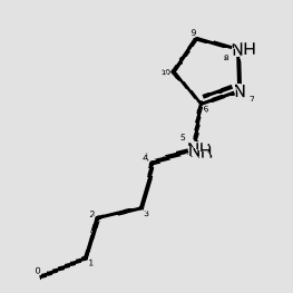 CCCCCNC1=NNCC1